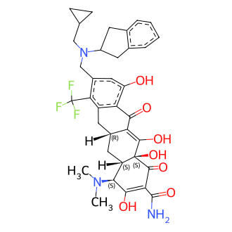 CN(C)[C@@H]1C(O)=C(C(N)=O)C(=O)[C@@]2(O)C(O)=C3C(=O)c4c(O)cc(CN(CC5CC5)C5Cc6ccccc6C5)c(C(F)(F)F)c4C[C@H]3C[C@@H]12